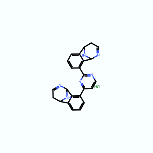 C1=NC2NC(C1)c1cccc(-c3ccnc(-c4cccc5c4C4N=CCC5N4)n3)c12.Cl